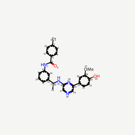 CCc1ccc(C(=O)Nc2cccc([C@H](C)Nc3cncc(-c4ccc(O)c(OC)c4)n3)c2)cc1